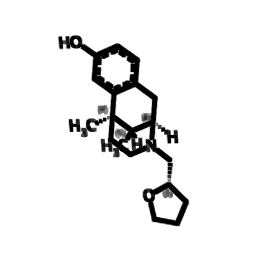 C[C@H]1[C@H]2Cc3ccc(O)cc3[C@]1(C)CCN2C[C@@H]1CCCO1